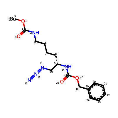 CC(C)(C)OC(=O)NCCCC[C@@H](CN=[N+]=[N-])NC(=O)OCc1ccccc1